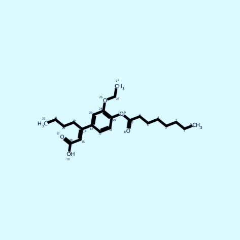 CCCCCCCC(=O)Oc1ccc(C(=CC(=O)O)CCCC)cc1OCC